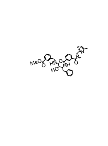 COC(=O)c1cccc(CNC[C@@H](O)[C@H](Cc2ccccc2)NC(=O)c2cccc(C(=O)N(C)Cc3nc(C)cs3)c2)c1